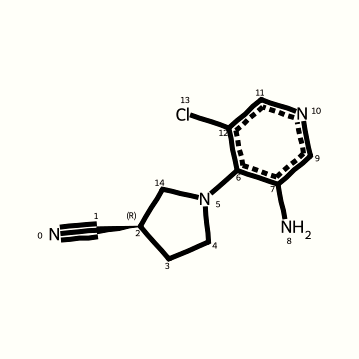 N#C[C@@H]1CCN(c2c(N)cncc2Cl)C1